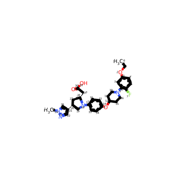 CCOc1ccc(F)c(N2CCC(Oc3ccc(N4C[C@H](c5cnn(C)c5)C[C@@H]4CC(=O)O)cc3)CC2)c1